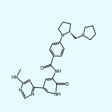 CNc1cc(-c2c[nH]c(=O)c(NC(=O)c3ccc(N4CCC[C@H]4CN4CCCC4)cc3)c2)ncn1